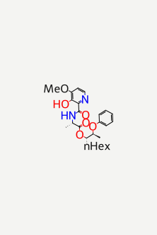 CCCCCC[C@H](OC(=O)[C@H](C)NC(=O)c1nccc(OC)c1O)[C@H](C)Oc1ccccc1